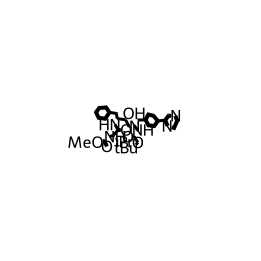 COC(=O)N[C@H](C(=O)NC(Cc1ccccc1)C(O)CN(Cc1ccc(-c2cnccn2)cc1)NC(=O)OC(C)(C)C)C(C)C